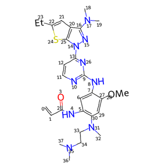 C=CC(=O)Nc1cc(Nc2nccc(-n3nc(N(C)C)c4cc(CC)sc43)n2)c(OC)cc1N(C)CCN(C)C